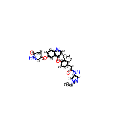 Cc1cc(CC(=O)Nc2cnn(C(C)(C)C)c2)ccc1Oc1ccnc2ccc(OC3CCC(=O)NC3)cc12